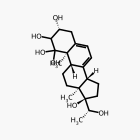 C[C@@H](O)[C@@]1(O)CC[C@H]2C3=CC=C4C[C@@H](O)C(O)C(O)(O)[C@]4(C)[C@H]3CC[C@@]21C